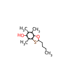 CCCCC1Oc2c(C)c(C)c(O)c(C)c2S1